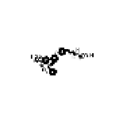 Cc1c(NS(C)(=O)=O)cccc1N(Cc1ccccc1)Cc1ccc(Oc2ccc(CCCC(=O)N[C@H](C(=O)O)C(C)C)cc2)cc1